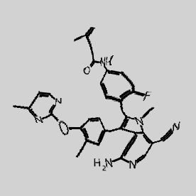 C=C(C)C(=O)Nc1ccc(-c2c(-c3ccc(Oc4nccc(C)n4)c(C)c3)c3c(N)ncc(C#N)c3n2C)c(F)c1